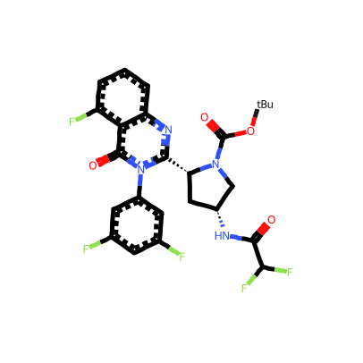 CC(C)(C)OC(=O)N1C[C@H](NC(=O)C(F)F)C[C@@H]1c1nc2cccc(F)c2c(=O)n1-c1cc(F)cc(F)c1